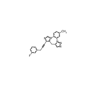 Cc1ccc2c(c1)-n1nncc1Cc1c(C#CCc3cccc(F)c3)ncn1-2